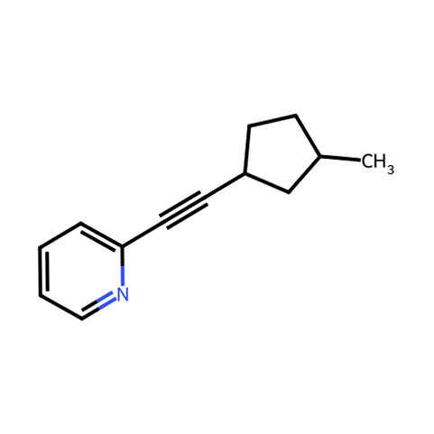 CC1CCC(C#Cc2ccccn2)C1